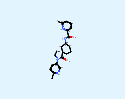 Cc1ccc(N2CC[C@]3(CCC[C@H](NC(=O)c4cccc(C)n4)C3)C2=O)cn1